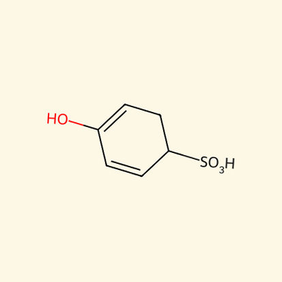 O=S(=O)(O)C1C=CC(O)=CC1